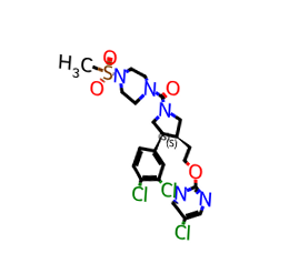 CS(=O)(=O)N1CCN(C(=O)N2C[C@@H](CCOc3ncc(Cl)cn3)[C@@H](c3ccc(Cl)c(Cl)c3)C2)CC1